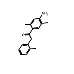 Cc1cc(C(=O)Cc2ccccc2C)c(C)cc1N